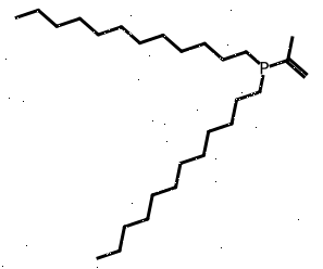 C=C(C)P(CCCCCCCCCCCC)CCCCCCCCCCCC